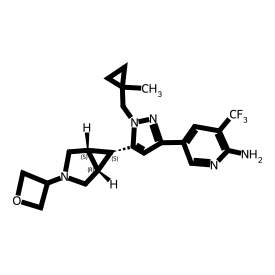 CC1(Cn2nc(-c3cnc(N)c(C(F)(F)F)c3)cc2[C@@H]2[C@@H]3CN(C4COC4)C[C@@H]32)CC1